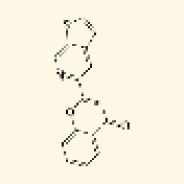 O=c1cc(-c2cc3ccsc3cn2)oc2ccccc12